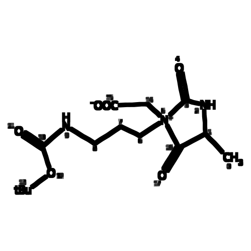 CC1NC(=O)[N+](CCCNC(=O)OC(C)(C)C)(CC(=O)[O-])C1=O